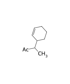 CC(=O)C(C)C1C=CCCC1